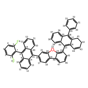 Fc1cccc(F)c1-c1c2ccccc2c(-c2ccc3c(c2)oc2c(-c4c5c(c(-c6ccccc6)c6ccccc46)CCC=C5)cccc23)c2ccccc12